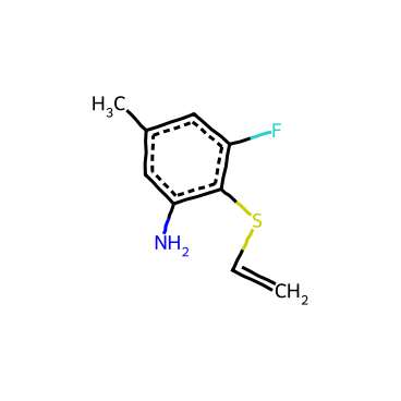 C=CSc1c(N)cc(C)cc1F